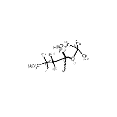 O=C(O)C(F)(F)C(F)(F)C(F)(F)OC(F)(C(=O)O)C(F)(F)F